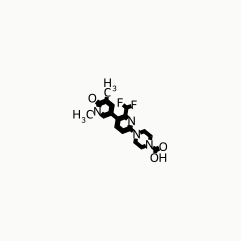 Cc1cc(-c2ccc(N3CCN(C(=O)O)CC3)nc2C(F)F)cn(C)c1=O